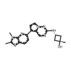 Cc1nc2ccc(-c3ccn4nc(N[C@H]5C[C@@](C)(O)C5)ncc34)nc2n1C